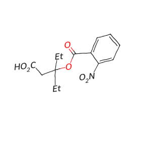 CCC(CC)(CC(=O)O)OC(=O)c1ccccc1[N+](=O)[O-]